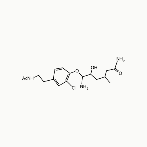 CC(=O)NCCc1ccc(OC(N)C(O)CC(C)CC(N)=O)c(Cl)c1